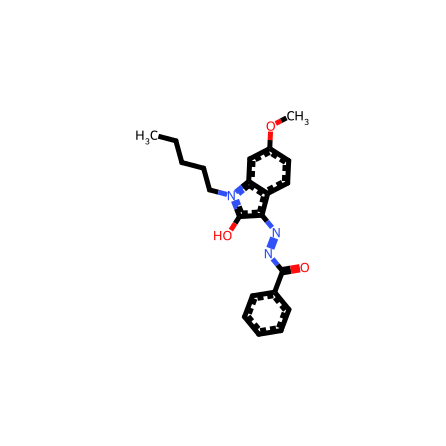 CCCCCn1c(O)c(N=NC(=O)c2ccccc2)c2ccc(OC)cc21